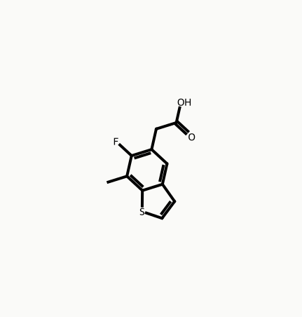 Cc1c(F)c(CC(=O)O)cc2ccsc12